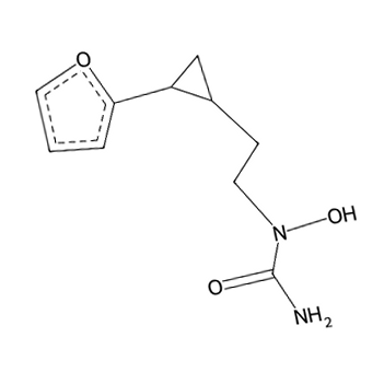 NC(=O)N(O)CCC1CC1c1ccco1